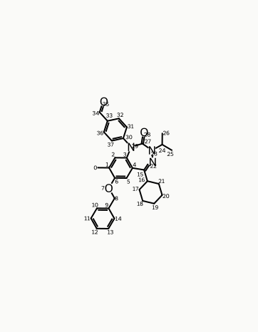 Cc1cc2c(cc1OCc1ccccc1)C(C1CCCCC1)=NN(C(C)C)C(=O)N2c1ccc(C=O)cc1